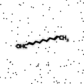 CC=CCCCCCC=C[C]=O